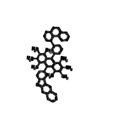 Bc1c(B)c(B)c2c(-c3ccc4oc5cc6ccccc6cc5c4c3)c3c(B)c(B)c(B)c(B)c3c(-c3cccc(-c4cccc5ccc6ccccc6c45)c3)c2c1B